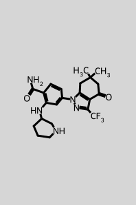 CC1(C)CC(=O)c2c(C(F)(F)F)nn(-c3ccc(C(N)=O)c(NC4CCCNC4)c3)c2C1